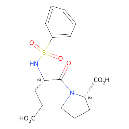 O=C(O)CC[C@H](NS(=O)(=O)c1ccccc1)C(=O)N1CCC[C@H]1C(=O)O